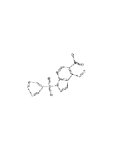 O=Cc1c([N+](=O)[O-])cnc2c1ccn2S(=O)(=O)c1ccccc1